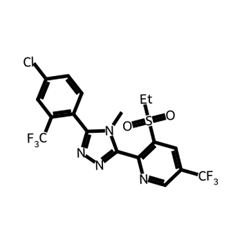 CCS(=O)(=O)c1cc(C(F)(F)F)cnc1-c1nnc(-c2ccc(Cl)cc2C(F)(F)F)n1C